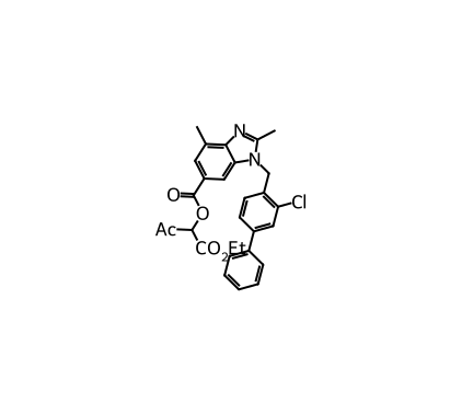 CCOC(=O)C(OC(=O)c1cc(C)c2nc(C)n(Cc3ccc(-c4ccccc4)cc3Cl)c2c1)C(C)=O